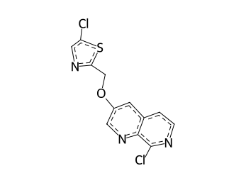 Clc1cnc(COc2cnc3c(Cl)nccc3c2)s1